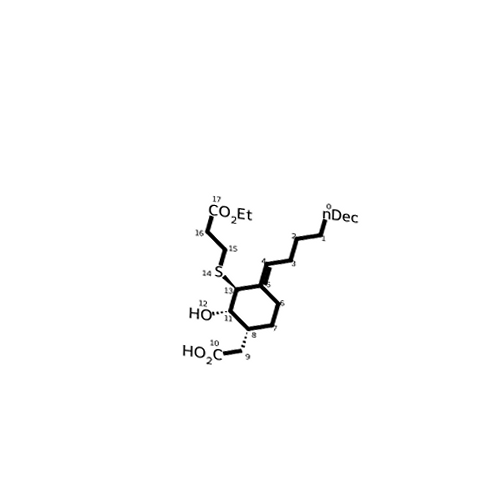 CCCCCCCCCCCCC/C=C1\CC[C@H](CC(=O)O)[C@H](O)[C@H]1SCCC(=O)OCC